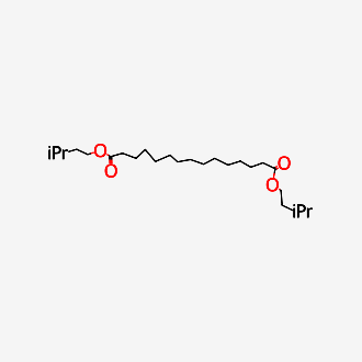 CC(C)CCOC(=O)CCCCCCCCCCCCCC(=O)OCCC(C)C